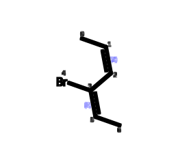 C/C=C\C(Br)=C/C